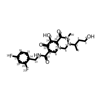 CC(CCO)N1Cn2cc(C(=O)NCc3ccc(F)cc3F)c(=O)c(O)c2C(=O)N1C